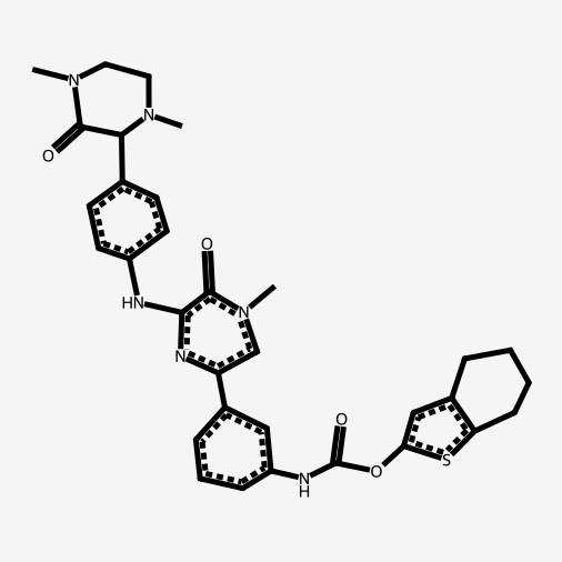 CN1CCN(C)C(c2ccc(Nc3nc(-c4cccc(NC(=O)Oc5cc6c(s5)CCCC6)c4)cn(C)c3=O)cc2)C1=O